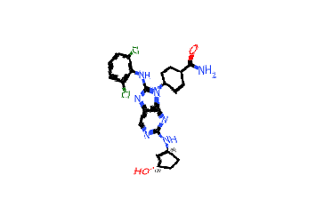 NC(=O)C1CCC(n2c(Nc3c(Cl)cccc3Cl)nc3cnc(N[C@H]4CC[C@H](O)C4)nc32)CC1